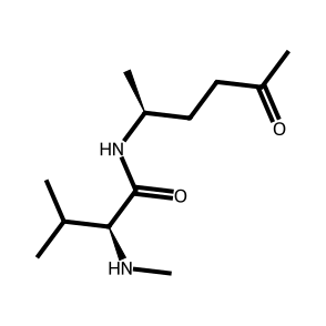 CN[C@H](C(=O)N[C@@H](C)CCC(C)=O)C(C)C